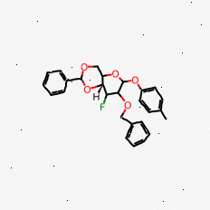 Cc1ccc(OC2OC3COC(c4ccccc4)O[C@H]3C(F)C2OCc2ccccc2)cc1